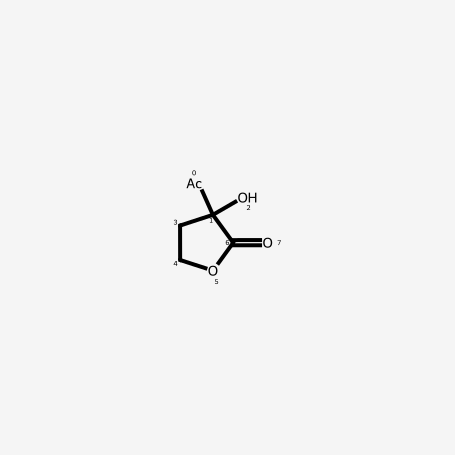 CC(=O)C1(O)CCOC1=O